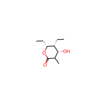 CC[C@@H]1[C@H](O)C(C)C(=O)O[C@@H]1CC